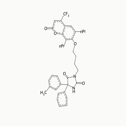 CCCc1cc2c(C(F)(F)F)cc(=O)oc2c(CCC)c1OCCCCN1C(=O)NC(c2ccccc2)(c2cccc(C)c2)C1=O